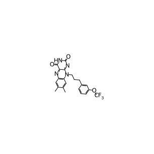 Cc1cc2nc3c(=O)[nH]c(=O)nc-3n(CCCc3cccc(OC(F)(F)F)c3)c2cc1C